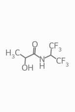 CC(O)C(=O)NC(C(F)(F)F)C(F)(F)F